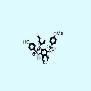 C=C/C=C(\C=C)Sc1cc(NS(=O)(=O)c2ccc(OC)cc2)c(=C/C)/c(=C\CC)c1NS(=O)(=O)c1ccc(O)cc1